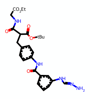 CCOC(=O)CNC(=O)C(Cc1ccc(NC(=O)c2cccc(NC=NN)c2)cc1)C(=O)OC(C)(C)C